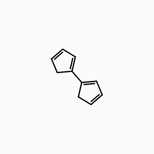 C1=CCC(C2=CC=CC2)=C1